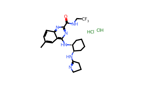 Cc1ccc2nc(C(=O)NCC(F)(F)F)nc(N[C@H]3CCCC[C@H]3NC3=NCCC3)c2c1.Cl.Cl